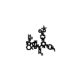 CCN1CCN(c2cc(N3CCN(C(=O)OC(C)(C)C)CC3)cc(/C(N)=N/OC(=O)C3(C)CCCc4sc(N)c(C#N)c43)n2)CC1